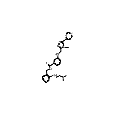 CN(C)CCNc1ccccc1CNC(=O)c1cccc(NCc2nnc(-c3ccncn3)n2C)c1